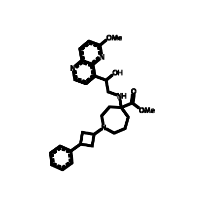 COC(=O)C1(NCC(O)c2ccnc3ccc(OC)nc23)CCCN(C2CC(c3ccccc3)C2)CC1